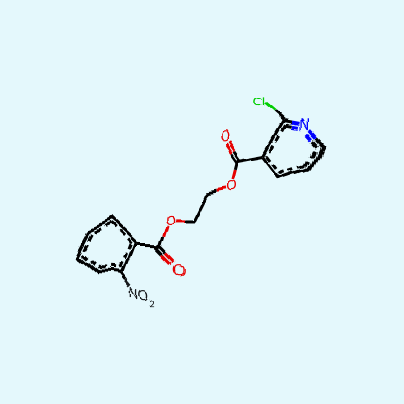 O=C(OCCOC(=O)c1cccnc1Cl)c1ccccc1[N+](=O)[O-]